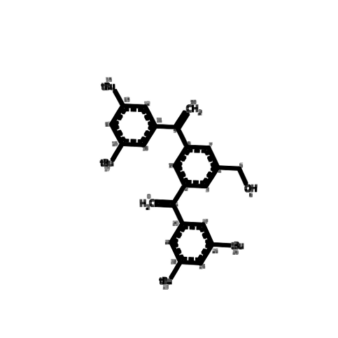 C=C(c1cc(CO)cc(C(=C)c2cc(C(C)(C)C)cc(C(C)(C)C)c2)c1)c1cc(C(C)(C)C)cc(C(C)(C)C)c1